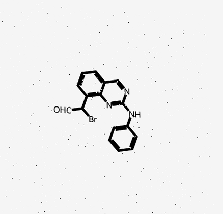 O=CC(Br)c1cccc2cnc(Nc3ccccc3)nc12